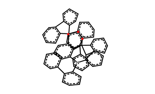 c1ccc(-c2ccccc2N(c2ccccc2-c2ccccc2)c2cccc3c2C2(c4ccccc4-c4ccccc42)c2ccccc2C32c3ccccc3-c3ccccc32)cc1